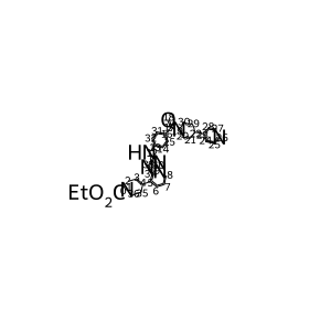 CCOC(=O)N1CC=C(c2cccn3nc(Nc4ccc(C(=O)N5CCC(c6ccncc6)CC5)cc4)nc23)CC1